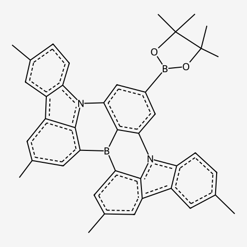 Cc1ccc2c(c1)c1cc(C)cc3c1n2-c1cc(B2OC(C)(C)C(C)(C)O2)cc2c1B3c1cc(C)cc3c4cc(C)ccc4n-2c13